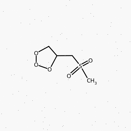 CS(=O)(=O)CC1COOO1